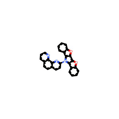 c1cnc2c(c1)ccc1ccc(-n3c4c5ccccc5oc4c4oc5ccccc5c43)nc12